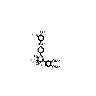 COc1ccc(C2=NN(C3CCN(S(=O)(=O)c4ccc(C)c(O)c4)CC3)C(=O)C(C)(C)C2)cc1OC